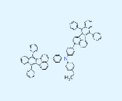 C=Cc1ccc(N(c2ccc(-c3ccc4c5c(cccc35)-c3c-4c(-c4ccccc4)c4ccccc4c3-c3ccccc3)cc2)c2ccc(-c3ccc4c5c(cccc35)-c3c-4c(-c4ccccc4)c4ccccc4c3-c3ccccc3)cc2)cc1